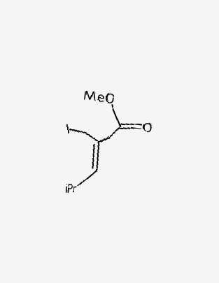 COC(=O)C(I)=CC(C)C